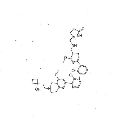 COc1cc(-c2nccc(-c3cccc(-c4ccc(CNC[C@H]5CCC(=O)N5)c(OC)n4)c3Cl)c2Cl)cc2c1CN(CCC1(O)CCC1)CC2